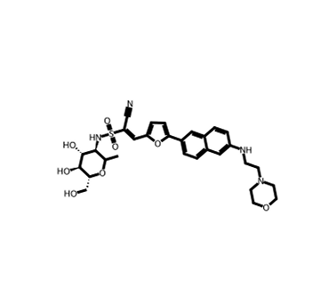 CC1O[C@H](CO)[C@@H](O)[C@H](O)[C@H]1NS(=O)(=O)/C(C#N)=C/c1ccc(-c2ccc3cc(NCCN4CCOCC4)ccc3c2)o1